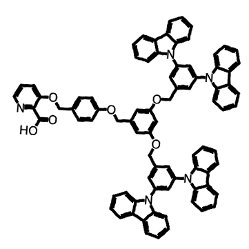 O=C(O)c1ncccc1OCc1ccc(OCc2cc(OCc3cc(-n4c5ccccc5c5ccccc54)cc(-n4c5ccccc5c5ccccc54)c3)cc(OCc3cc(-n4c5ccccc5c5ccccc54)cc(-n4c5ccccc5c5ccccc54)c3)c2)cc1